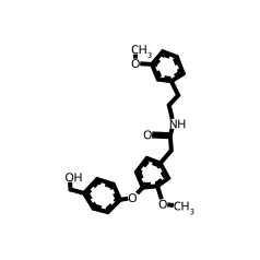 COc1cccc(CCNC(=O)Cc2ccc(Oc3ccc(CO)cc3)c(OC)c2)c1